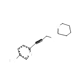 Oc1ccc(C#CCO[C@H]2CCCCO2)nc1